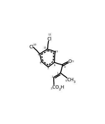 CC(=CC(=O)O)C(=O)c1ccc(Cl)c(Cl)c1